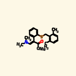 COC(=O)/C(=C/N(C)C)c1ccccc1SCc1c(C)cccc1C